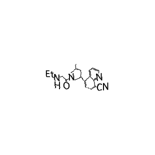 CCNCC(=O)N1CC(C)CC(c2ccc(C#N)c3ncccc23)C1